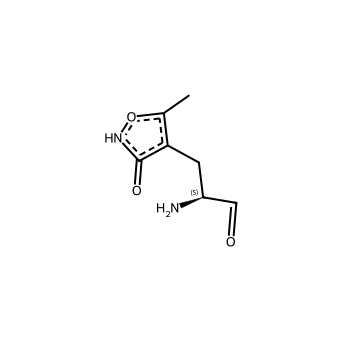 Cc1o[nH]c(=O)c1C[C@H](N)C=O